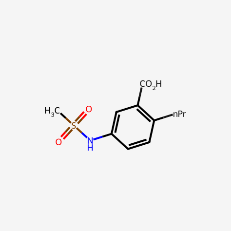 CCCc1ccc(NS(C)(=O)=O)cc1C(=O)O